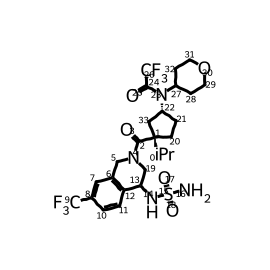 CC(C)[C@]1(C(=O)N2Cc3cc(C(F)(F)F)ccc3C(NS(N)(=O)=O)C2)CC[C@@H](N(C(=O)C(F)(F)F)C2CCOCC2)C1